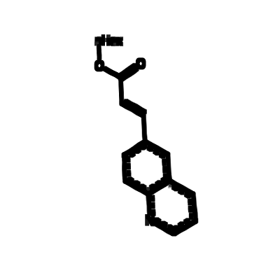 CCCCCCOC(=O)/C=C/c1ccc2ncccc2c1